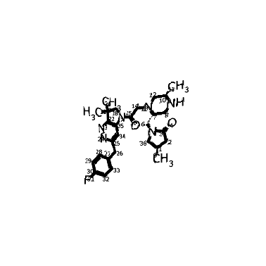 C[C@@H]1CC(=O)N(C[C@H]2CN[C@H](C)CN2CC(=O)N2CC(C)(C)c3nnc(Cc4ccc(F)cc4)cc32)C1